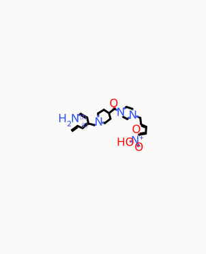 C=C/C=C(\C=C/N)CN1CCC(C(=O)N2CCN(Cc3ccc([N+](=O)O)o3)CC2)CC1